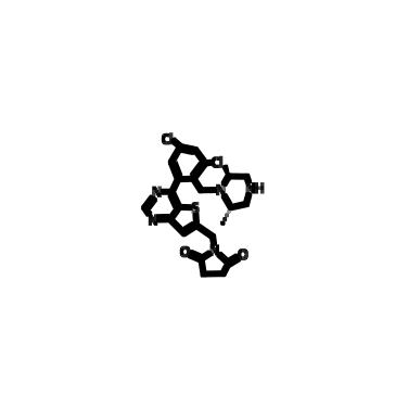 C[C@H]1CNC[C@H](C)N1Cc1c(Cl)cc(Cl)cc1-c1ncnc2cc(CN3C(=O)CCC3=O)sc12